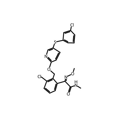 CNC(=O)C(=NOC)c1cccc(Cl)c1COc1ccc(Sc2cccc(Cl)c2)cn1